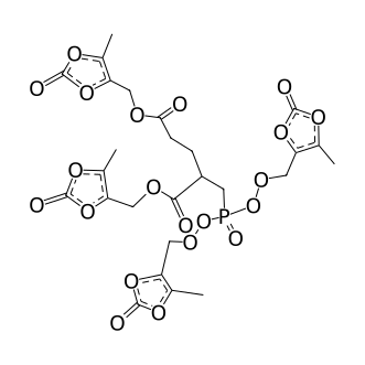 Cc1oc(=O)oc1COOP(=O)(CC(CCC(=O)OCc1oc(=O)oc1C)C(=O)OCc1oc(=O)oc1C)OOCc1oc(=O)oc1C